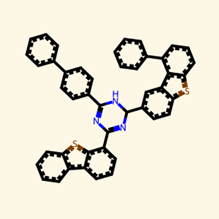 c1ccc(-c2ccc(C3=NC(c4cccc5c4sc4ccccc45)=NC(c4ccc5sc6cccc(-c7ccccc7)c6c5c4)N3)cc2)cc1